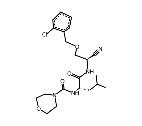 CC(C)C[C@H](NC(=O)N1CCOCC1)C(=O)N[C@H](C#N)COCc1ccccc1Cl